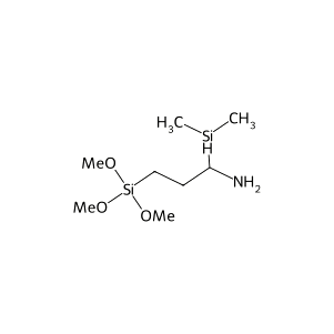 CO[Si](CCC(N)[SiH](C)C)(OC)OC